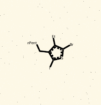 CCCCCCc1c(I)sc(Br)c1CC